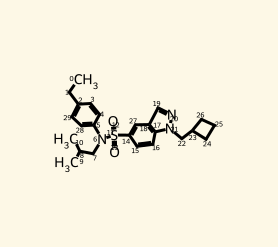 CCc1ccc(N(CC(C)C)S(=O)(=O)c2ccc3c(cnn3CC3CCC3)c2)cc1